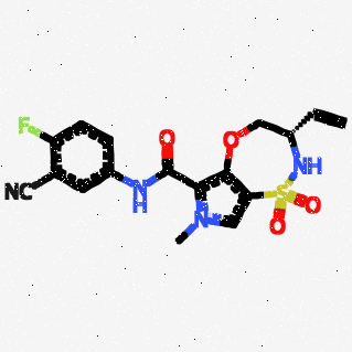 C=C[C@H]1COc2c(cn(C)c2C(=O)Nc2ccc(F)c(C#N)c2)S(=O)(=O)N1